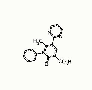 Cc1c(-c2ncccn2)cc(C(=O)O)c(=O)n1-c1ccccc1